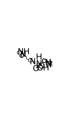 Cc1cc(C)n(-c2cccc(C(=O)N[C@@H](CCN3CCC(CCc4ccc5c(n4)NCCC5)CC3)C(=O)O)c2)n1